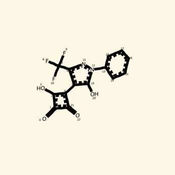 O=c1c(O)c(-c2c(C(F)(F)F)nn(-c3ccccc3)c2O)c1=O